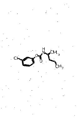 CCCC(C)NC(=O)Oc1cccc(Cl)c1